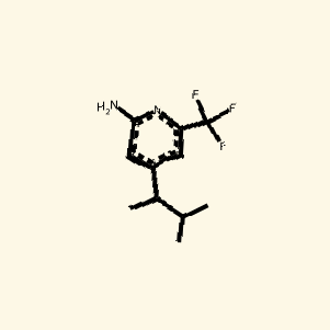 CC(C)C(C)c1cc(N)nc(C(F)(F)F)c1